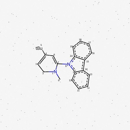 CN1CC=C(C(C)(C)C)C=C1n1c2ccccc2c2ccccc21